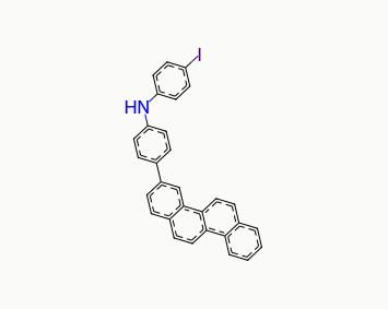 Ic1ccc(Nc2ccc(-c3ccc4ccc5c6ccccc6ccc5c4c3)cc2)cc1